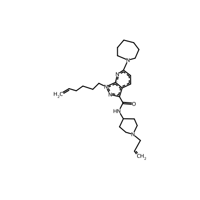 C=CCCCCn1nc(C(=O)NC2CCN(CC=C)CC2)c2ccc(N3CCCCCC3)nc21